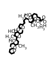 C=C1C([C@@H](O)C[C@H](C)C2CCC[C@]3(CCCCO3)O2)OC2CC[C@@]3(CCC(/C=C/[C@@H](C)[C@@H]4CC(C)=C[C@@]5(OC(C[C@@](C)(O)C(=O)O)CCC5O)O4)O3)O[C@H]2[C@@H]1O